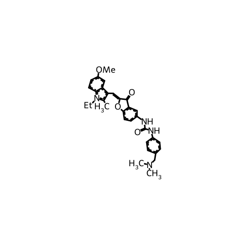 CCn1c(C)c(C=C2Oc3ccc(NC(=O)Nc4ccc(CN(C)C)cc4)cc3C2=O)c2cc(OC)ccc21